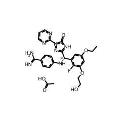 CC(=O)O.CCOc1cc(OCCO)c(F)c([C@H](Nc2ccc(C(=N)N)cc2)c2nn(-c3ncccn3)c(=O)[nH]2)c1